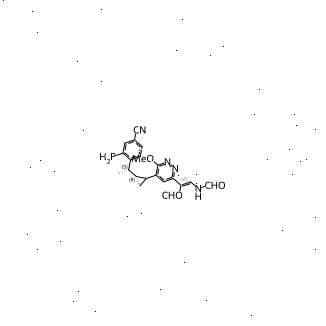 COc1nnc(/C(C=O)=C/NC=O)cc1C1C[C@@H]1[C@H](C)c1ccc(C#N)cc1P